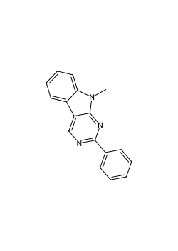 Cn1c2ccccc2c2cnc(-c3ccccc3)nc21